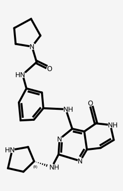 O=C(Nc1cccc(Nc2nc(N[C@@H]3CCNC3)nc3cc[nH]c(=O)c23)c1)N1CCCC1